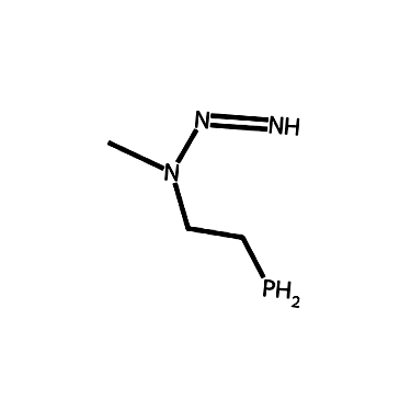 CN(CCP)N=N